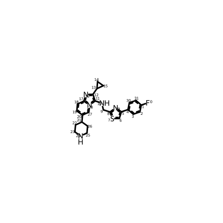 Fc1ccc(-c2csc(CNc3c(C4CC4)nc4ccc(C5CCNCC5)cn34)n2)cc1